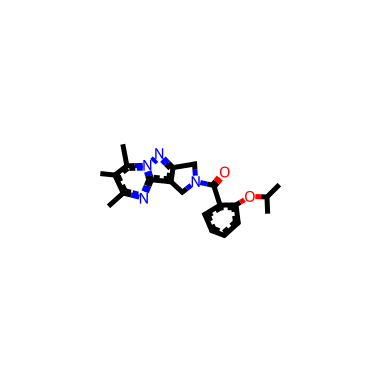 Cc1nc2c3c(nn2c(C)c1C)CN(C(=O)c1ccccc1OC(C)C)C3